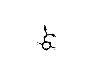 N#CC(C#N)=Cc1cc(Cl)ccc1Cl